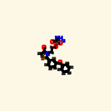 NS(=O)(=O)OCCN1C(=O)CSC1c1cccc(Oc2ccccc2)c1